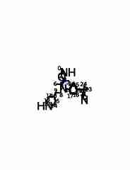 CNO/C(C)=C(\C)N(CCC1CCNCC1)c1ccc(C2(C#N)CC2)cc1